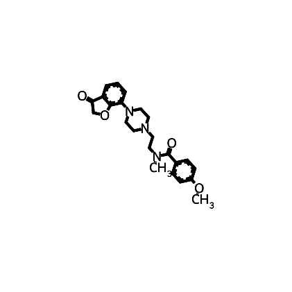 COc1ccc(C(=O)N(C)CCN2CCN(c3cccc4c3OCC4=O)CC2)cc1